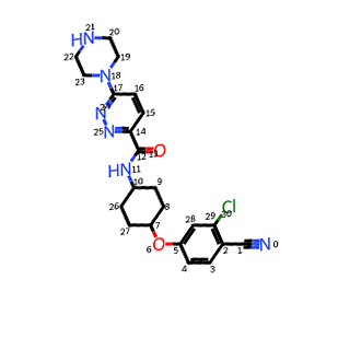 N#Cc1ccc(OC2CCC(NC(=O)c3ccc(N4CCNCC4)nn3)CC2)cc1Cl